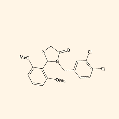 COc1cccc(OC)c1C1SCC(=O)N1Cc1ccc(Cl)c(Cl)c1